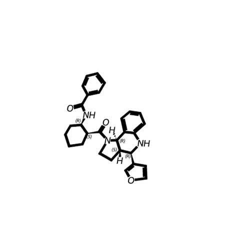 O=C(N[C@@H]1CCCC[C@@H]1C(=O)N1CC[C@H]2[C@H](c3ccoc3)Nc3ccccc3[C@@H]21)c1ccccc1